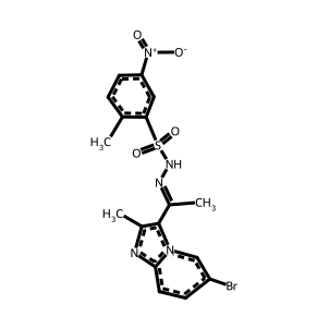 CC(=NNS(=O)(=O)c1cc([N+](=O)[O-])ccc1C)c1c(C)nc2ccc(Br)cn12